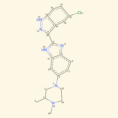 CC1CN(c2ccc3nc(-c4n[nH]c5ccc(Cl)cc45)[nH]c3c2)CCN1C